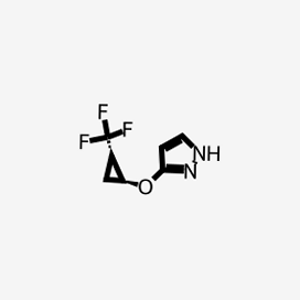 FC(F)(F)[C@H]1C[C@@H]1Oc1cc[nH]n1